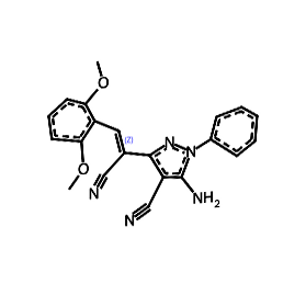 COc1cccc(OC)c1/C=C(\C#N)c1nn(-c2ccccc2)c(N)c1C#N